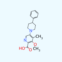 COc1c(C(=O)O)ncc(N2CCC(c3ccccc3)CC2)c1C